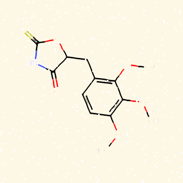 COc1ccc(CC2OC(=S)NC2=O)c(OC)c1OC